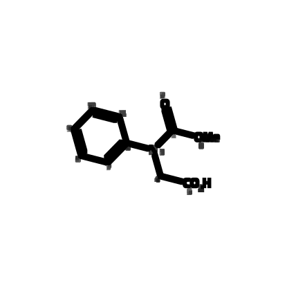 COC(=O)N(CC(=O)O)c1ccccc1